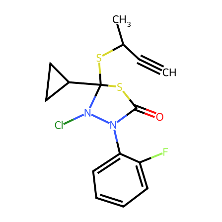 C#CC(C)SC1(C2CC2)SC(=O)N(c2ccccc2F)N1Cl